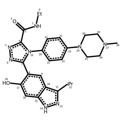 CCNC(=O)c1nnc(-c2cc3c(C(C)C)n[nH]c3cc2O)n1-c1ccc(N2CCN(C)CC2)cc1